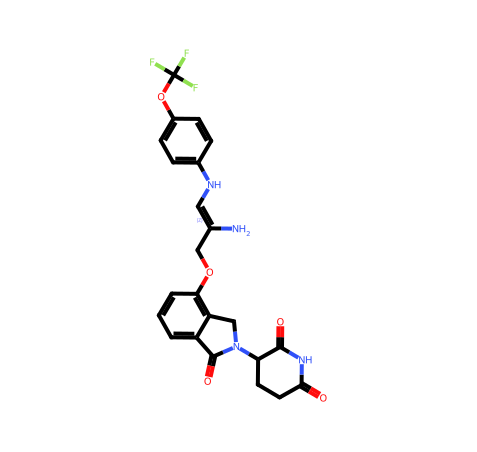 N/C(=C\Nc1ccc(OC(F)(F)F)cc1)COc1cccc2c1CN(C1CCC(=O)NC1=O)C2=O